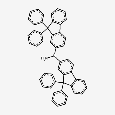 NN(c1ccc2c(c1)C(c1ccccc1)(c1ccccc1)c1ccccc1-2)c1ccc2c(c1)C(c1ccccc1)(c1ccccc1)c1ccccc1-2